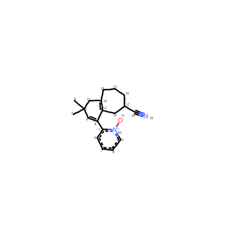 CC1(C)C=C(c2cccc[n+]2[O-])C2=C(CCCC(C#N)C2)C1